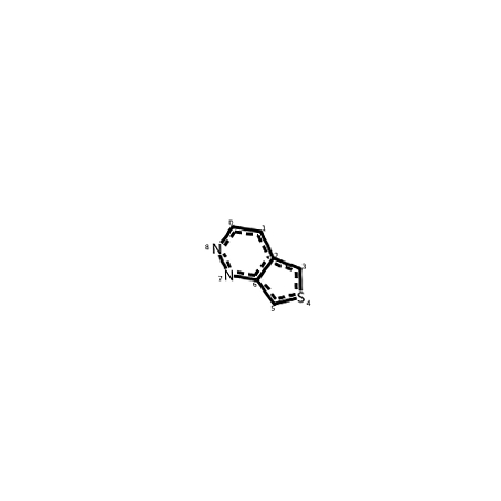 c1cc2cscc2nn1